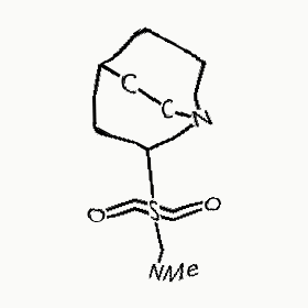 CNS(=O)(=O)C1CC2CCN1CC2